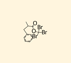 CC(Cc1ccccc1)C(=O)OC(Br)(Br)Br